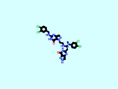 CN(c1ccc(Cl)c(Cl)c1)[C@@H](Cc1nc2c[nH]nc2c(=O)[nH]1)NCCn1ncc2nc(NCc3ccc(Cl)c(Cl)c3)[nH]c(=O)c21